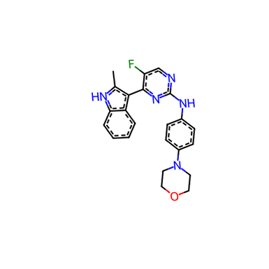 Cc1[nH]c2ccccc2c1-c1nc(Nc2ccc(N3CCOCC3)cc2)ncc1F